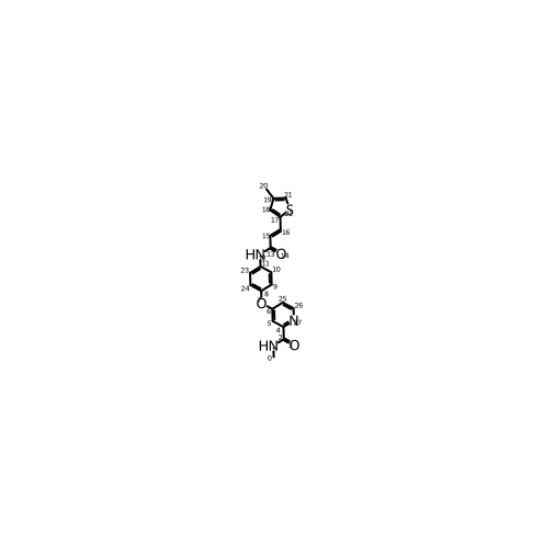 CNC(=O)c1cc(Oc2ccc(NC(=O)C=Cc3cc(C)cs3)cc2)ccn1